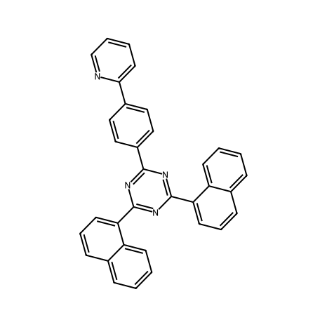 c1ccc(-c2ccc(-c3nc(-c4cccc5ccccc45)nc(-c4cccc5ccccc45)n3)cc2)nc1